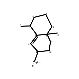 CC(=O)OC1C=C2C(C)CCCC2(C)CC1